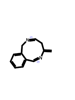 C=C1C/C=N\Cc2ccccc2/C=N\1